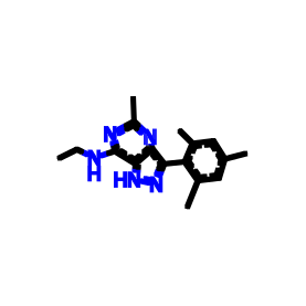 CCNc1nc(C)nc2c(-c3c(C)cc(C)cc3C)n[nH]c12